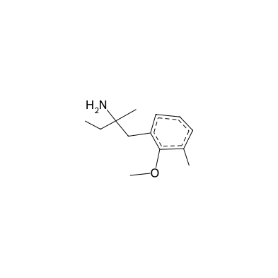 CCC(C)(N)Cc1cccc(C)c1OC